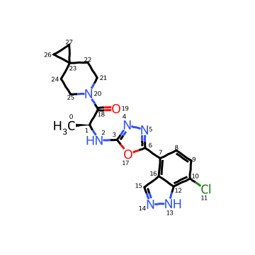 C[C@H](Nc1nnc(-c2ccc(Cl)c3[nH]ncc23)o1)C(=O)N1CCC2(CC1)CC2